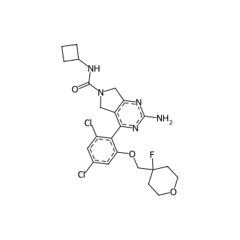 Nc1nc2c(c(-c3c(Cl)cc(Cl)cc3OCC3(F)CCOCC3)n1)CN(C(=O)NC1CCC1)C2